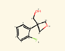 OCC1(c2ccccc2F)COC1